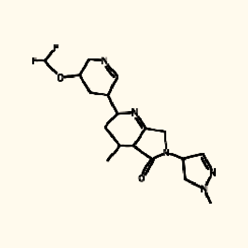 CC1CC(C2C=NCC(OC(F)F)C2)N=C2CN(C3C=NN(C)C3)C(=O)C21